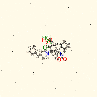 Cl.O.O=C1OCC(CCN2CCC(Cc3ccccc3)CC2)(c2ccc(Cl)c(Cl)c2)CN1Cc1ccccc1